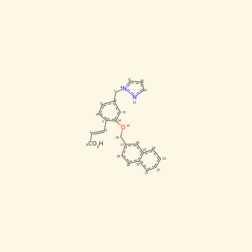 O=C(O)C=Cc1ccc(Cn2cccn2)cc1OCc1ccc2ccccc2c1